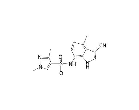 Cc1nn(C)cc1S(=O)(=O)Nc1ccc(C)c2c(C#N)c[nH]c12